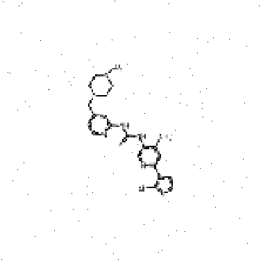 Nc1cc(-c2ccsc2Cl)ncc1NC(=S)Nc1cc(CN2CCN(C(=O)O)CC2)ccn1